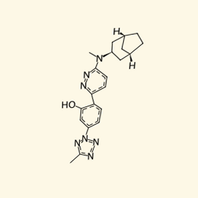 Cc1nnn(-c2ccc(-c3ccc(N(C)[C@H]4C[C@@H]5CC[C@@H](C5)C4)nn3)c(O)c2)n1